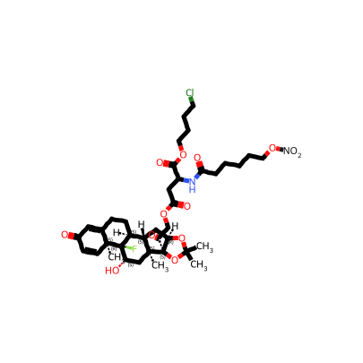 CC1(C)O[C@@H]2C[C@H]3[C@@H]4CCC5=CC(=O)C=C[C@]5(C)[C@@]4(F)[C@@H](O)C[C@]3(C)[C@]2(C(=O)COC(=O)CC(NC(=O)CCCCCO[N+](=O)[O-])C(=O)OCCCCCl)O1